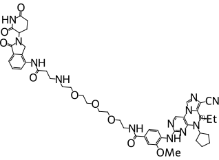 CC[C@@H]1c2c(C#N)ncn2-c2cnc(Nc3ccc(C(=O)NCCOCCOCCOCCNCCC(=O)Nc4cccc5c4CN(C4CCC(=O)NC4=O)C5=O)cc3OC)nc2N1C1CCCC1